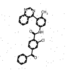 Cc1ccc(NC(=O)c2ccc(C(=O)c3ccccc3)cc2Cl)cc1-c1ncnc2ccccc12